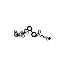 CCOCCCNC(=O)c1cccc(-c2cccc3c2OC(C(=O)N[C@H]2CN4CCC2CC4)C3)c1